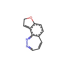 C1=Cc2ccc3c(c2=NN=C1)=CCO3